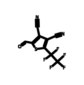 N#Cc1c(C=O)sc(C(F)(F)C(F)(F)F)c1C#N